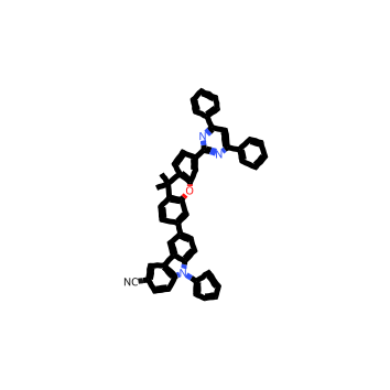 CC1(C)c2ccc(-c3ccc4c(c3)c3cc(C#N)ccc3n4-c3ccccc3)cc2Oc2cc(-c3nc(-c4ccccc4)cc(-c4ccccc4)n3)ccc21